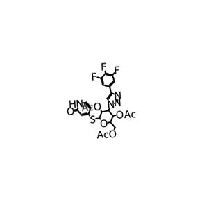 CC(=O)OCC1OC(Sc2cc[nH]c(=O)c2)C(OC(C)=O)C(n2cc(-c3cc(F)c(F)c(F)c3)nn2)C1OC(C)=O